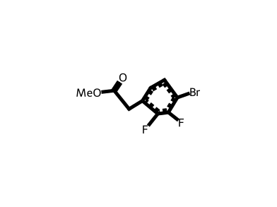 COC(=O)Cc1ccc(Br)c(F)c1F